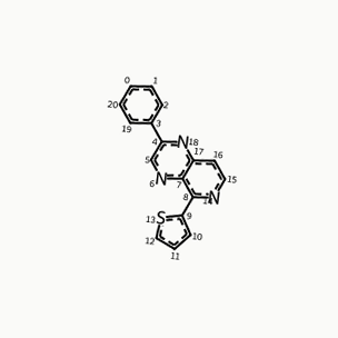 c1ccc(-c2cnc3c(-c4cccs4)nccc3n2)cc1